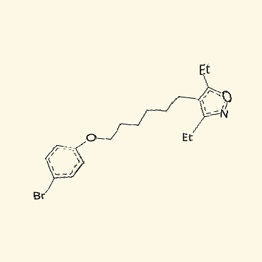 CCc1noc(CC)c1CCCCCCOc1ccc(Br)cc1